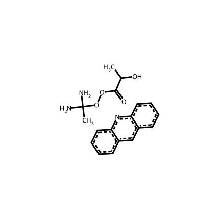 CC(O)C(=O)OOC(C)(N)N.c1ccc2nc3ccccc3cc2c1